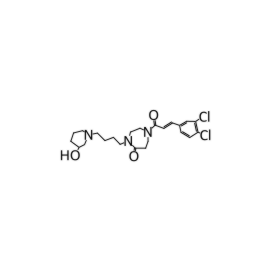 O=C(C=Cc1ccc(Cl)c(Cl)c1)N1CCC(=O)N(CCCCN2CCCC(O)C2)CC1